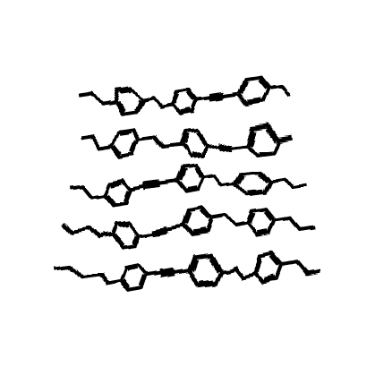 CCCCCc1ccc(C#Cc2ccc(CCc3ccc(CCC)cc3)cc2)cc1.CCCCc1ccc(C#Cc2ccc(CCc3ccc(CCC)cc3)cc2)cc1.CCCc1ccc(C#Cc2ccc(CCc3ccc(CCC)cc3)cc2)cc1.CCCc1ccc(CCc2ccc(C#Cc3ccc(C)cc3)cc2)cc1.CCCc1ccc(CCc2ccc(C#Cc3ccc(CC)cc3)cc2)cc1